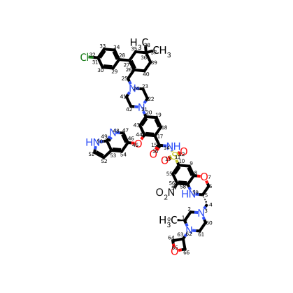 C[C@H]1CN(C[C@H]2COc3cc(S(=O)(=O)NC(=O)c4ccc(N5CCN(CC6=C(c7ccc(Cl)cc7)CC(C)(C)CC6)CC5)cc4Oc4cnc5[nH]ccc5c4)cc([N+](=O)[O-])c3N2)CCN1C1COC1